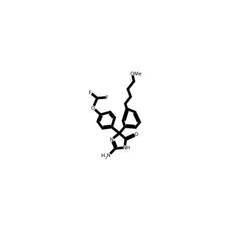 COCCCCc1cccc(C2(c3ccc(OC(F)F)cc3)N=C(N)NC2=O)c1